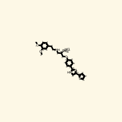 COc1ccc(CCNCC(O)COc2ccc(-c3nc(-c4cccs4)c[nH]3)cc2)cc1OC.Cl.Cl